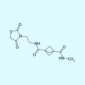 CNC(=O)C12CC(C(=O)NCCN3C(=O)CSC3=O)(C1)C2